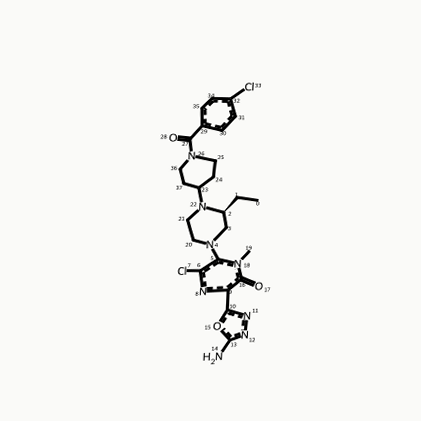 CC[C@H]1CN(c2c(Cl)nc(-c3nnc(N)o3)c(=O)n2C)CCN1C1CCN(C(=O)c2ccc(Cl)cc2)CC1